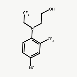 [C-]#[N+]c1ccc(N(CCO)CC(F)(F)F)c(C(F)(F)F)c1